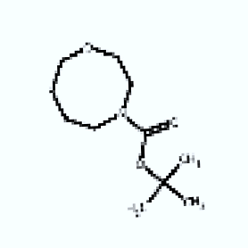 CC(C)(C)OC(=O)N1CCCCOCC1